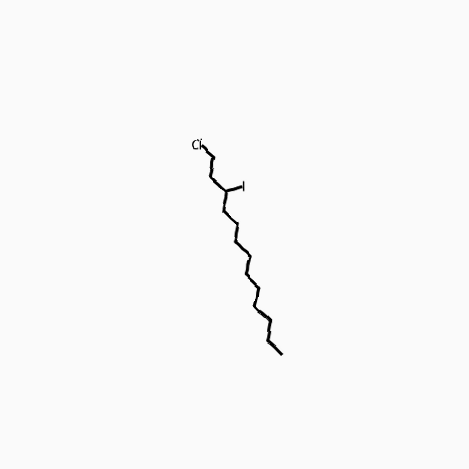 CCCCCCCCCCC(I)CCCl